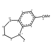 COc1ccc2c(c1)N(C)CCCS2